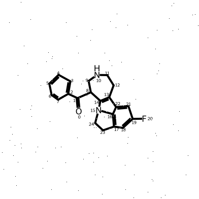 O=C(c1ccccc1)C1CNCCc2c1n1c3c(cc(F)cc23)CC1